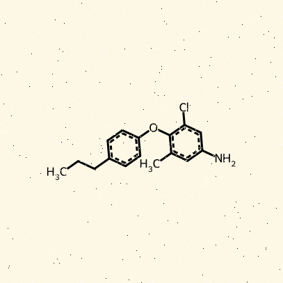 CCCc1ccc(Oc2c(C)cc(N)cc2Cl)cc1